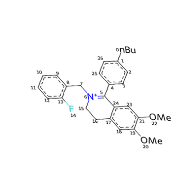 CCCCc1ccc(C2=[N+](Cc3ccccc3F)CCc3cc(OC)c(OC)cc32)cc1